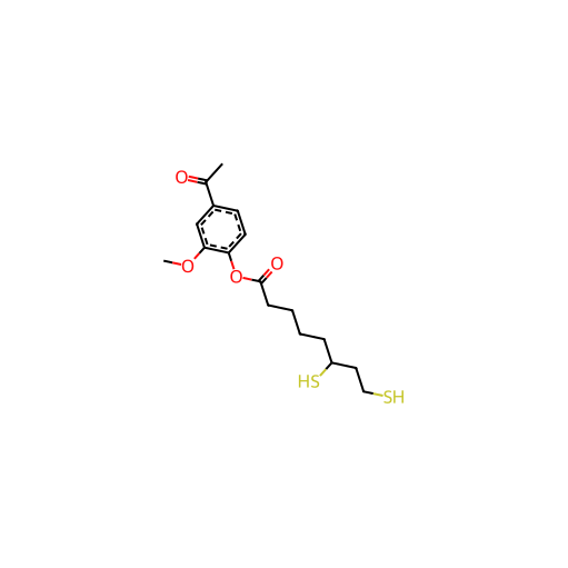 COc1cc(C(C)=O)ccc1OC(=O)CCCCC(S)CCS